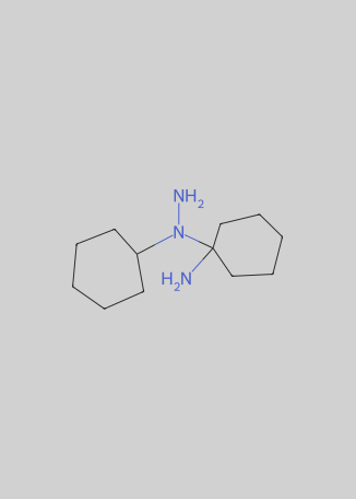 NN(C1CCCCC1)C1(N)CCCCC1